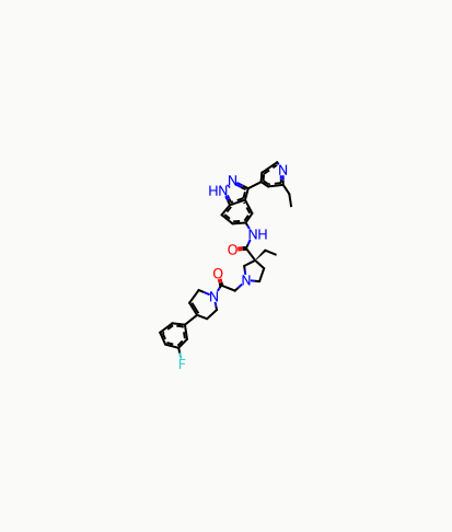 CCc1cc(-c2n[nH]c3ccc(NC(=O)[C@]4(CC)CCN(CC(=O)N5CC=C(c6cccc(F)c6)CC5)C4)cc23)ccn1